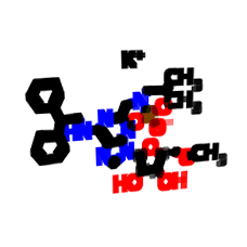 COC[C@H]1O[C@@H](n2cnc3c(NCC(c4ccccc4)c4ccccc4)nc(CN(CC(C)C)S(=O)(=O)[O-])nc32)[C@H](O)[C@@H]1O.[K+]